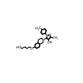 Cc1ccc(-n2nc(C)c(C#N)c2N2CCc3cc(OCCCCO)ccc3C2)cc1